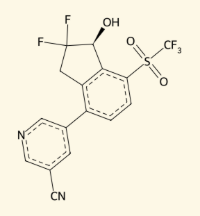 N#Cc1cncc(-c2ccc(S(=O)(=O)C(F)(F)F)c3c2CC(F)(F)[C@H]3O)c1